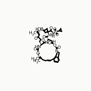 C=C1CC(NC(=O)[C@@H]2C[C@@H]3CN2C(=O)[C@H](CCC(=O)C=C(C)C)NC(=O)OCC(C)(C)CC/C=C/c2cccc4c2CN(C4)C(=O)O3)(C(=O)NS(=O)(=O)C2CC2)C1